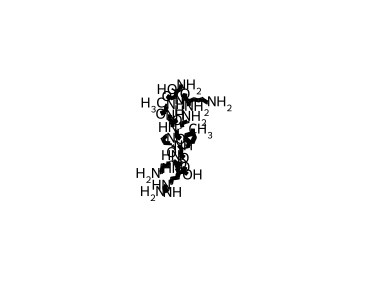 Cc1ccc(C[C@H](NC(=O)[C@@H]2CCCN2C(=O)[C@@H](CCCN)NC(=O)CNC(=O)C(C)NC(=O)[C@@H](NC(=O)C(N)CCCCN)[C@@H](O)CN)C(=O)N[C@@H](CCCCN)C(=O)N/C(=C\CCNC(=N)N)C(=O)O)cc1